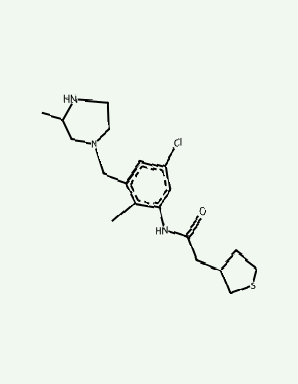 Cc1c(CN2CCNC(C)C2)cc(Cl)cc1NC(=O)CC1CCSC1